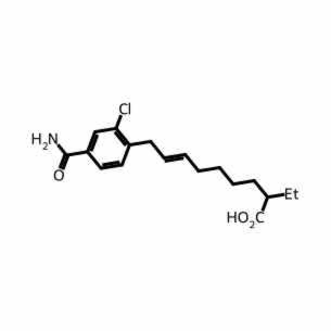 CCC(CCCCC=CCc1ccc(C(N)=O)cc1Cl)C(=O)O